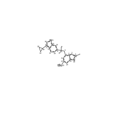 Cn1cc2c(CC(C)(C)c3ccc4c(c3)ncn4C3CC3)cc(C(C)(C)C)cc2n1